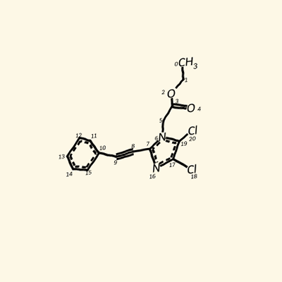 CCOC(=O)Cn1c(C#Cc2ccccc2)nc(Cl)c1Cl